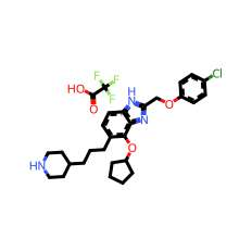 Clc1ccc(OCc2nc3c(OC4CCCC4)c(CCCC4CCNCC4)ccc3[nH]2)cc1.O=C(O)C(F)(F)F